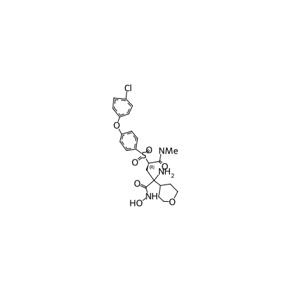 CNC(=O)[C@@H](CC(N)(C(=O)NO)C1CCOCC1)S(=O)(=O)c1ccc(Oc2ccc(Cl)cc2)cc1